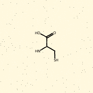 [NH]C(CS)C(=O)O